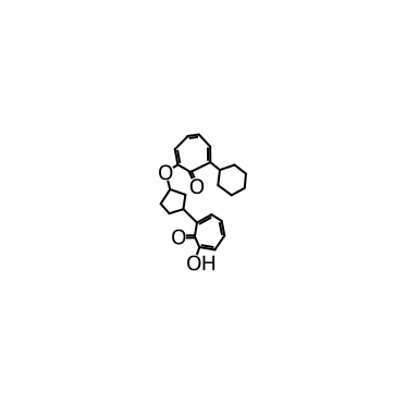 O=c1c(O)ccccc1C1CCC(Oc2ccccc(C3CCCCC3)c2=O)C1